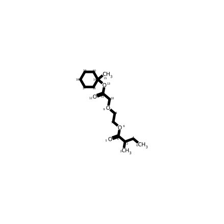 CCC(C)C(=O)OCCOCC(=O)OC1(C)CCCCC1